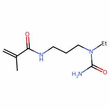 C=C(C)C(=O)NCCCN(CC)C(N)=O